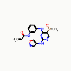 C=CC(=O)Nc1cccc(Nc2nc(Nc3cnoc3)ncc2[S+](C)[O-])c1